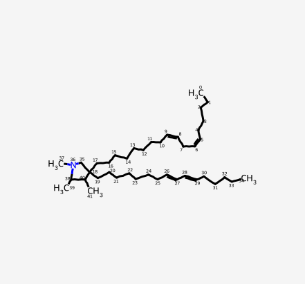 CCCCC/C=C\C/C=C\CCCCCCCCC1(CCCCCCC/C=C/C=C/CCCCC)CN(C)C(C)C1C